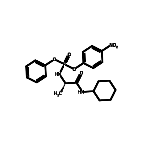 C[C@H](NP(=O)(Oc1ccccc1)Oc1ccc([N+](=O)[O-])cc1)C(=O)NC1CCCCC1